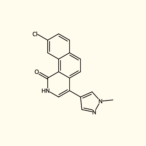 Cn1cc(-c2c[nH]c(=O)c3c2ccc2ccc(Cl)cc23)cn1